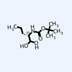 CCC[C@H](NC(=O)OC(C)(C)C)C(O)O